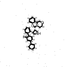 O=C([C@@H]1CNC[C@H]1c1ccccc1-c1ccc(-c2ccccc2)cc1F)N1CCOC[C@@H]1c1ccccc1